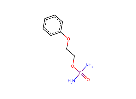 NP(N)(=O)OCCOc1ccccc1